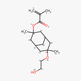 C=C(C)C(=O)OC1(C)CC2CC(CC(C)(OCCO)C2)C1